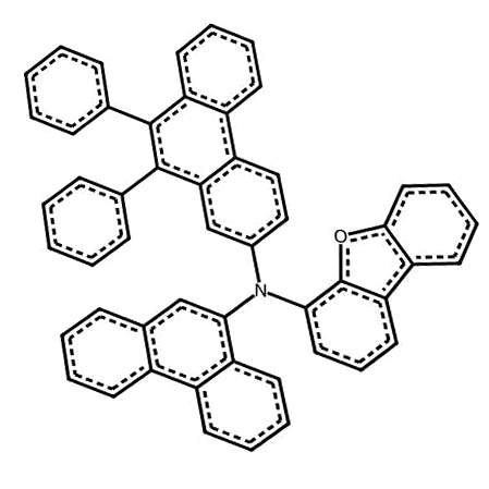 c1ccc(-c2c(-c3ccccc3)c3cc(N(c4cc5ccccc5c5ccccc45)c4cccc5c4oc4ccccc45)ccc3c3ccccc23)cc1